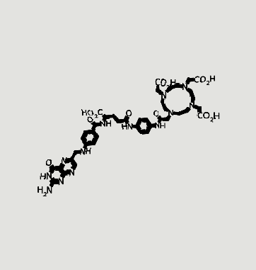 Nc1nc2ncc(CNc3ccc(C(=O)NC(CCC(=O)Nc4ccc(NC(=O)CN5CCN(CC(=O)O)CCN(CC(=O)O)CCN(CC(=O)O)CC5)cc4)C(=O)O)cc3)nc2c(=O)[nH]1